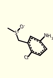 C[S+]([O-])Cc1cc(N)ccc1Cl